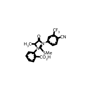 CSC1=[N+](c2ccc(C#N)c(C(F)(F)F)c2)C(=O)C(C)N1c1ccccc1C(=O)O